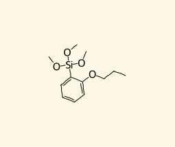 CCCOc1ccccc1[Si](OC)(OC)OC